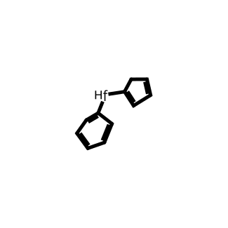 C1=CC[C]([Hf][c]2ccccc2)=C1